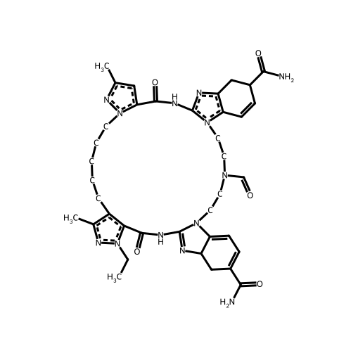 CCn1nc(C)c2c1C(=O)NC1=NC3CC(C(N)=O)=CC=C3N1CCN(C=O)CCn1c(nc3c1C=CC(C(N)=O)C3)NC(=O)c1cc(C)nn1CCCCC2